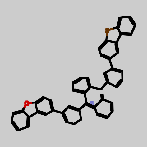 C=c1cccc/c1=C(\C1=CC(c2ccc3oc4ccccc4c3c2)=CCC1)c1ccccc1Cc1cccc(-c2ccc3sc4ccccc4c3c2)c1